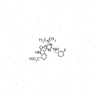 Cc1[nH]c2c(C(=O)O)cccc2c1-c1nc(NCc2cccc(F)c2)nc(N(C)C)n1